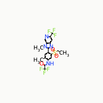 CCS(=O)(=O)c1cc(NC(=O)C(F)(F)F)c(C)cc1-c1nc2cc(C(F)(F)F)ncc2n1C